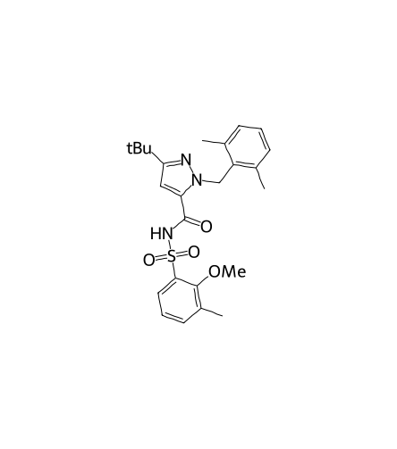 COc1c(C)cccc1S(=O)(=O)NC(=O)c1cc(C(C)(C)C)nn1Cc1c(C)cccc1C